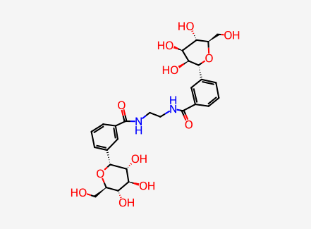 O=C(NCCNC(=O)c1cccc([C@H]2O[C@H](CO)[C@@H](O)[C@H](O)[C@@H]2O)c1)c1cccc([C@H]2O[C@H](CO)[C@@H](O)[C@H](O)[C@H]2O)c1